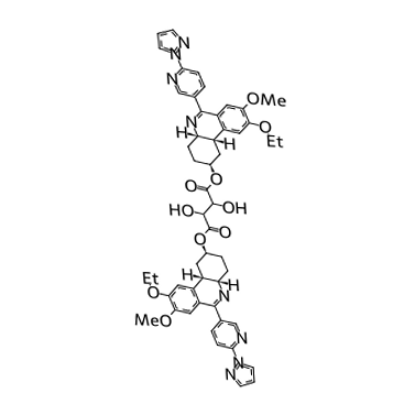 CCOc1cc2c(cc1OC)C(c1ccc(-n3cccn3)nc1)=N[C@H]1CC[C@H](OC(=O)C(O)C(O)C(=O)O[C@H]3CC[C@@H]4N=C(c5ccc(-n6cccn6)nc5)c5cc(OC)c(OCC)cc5[C@@H]4C3)C[C@@H]21